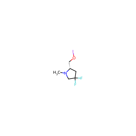 CN1CC(F)(F)C[C@H]1COI